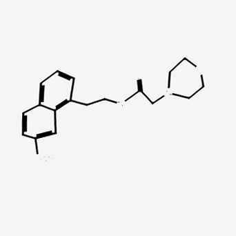 COc1ccc2cccc(CCNC(=O)CN3CCOCC3)c2c1